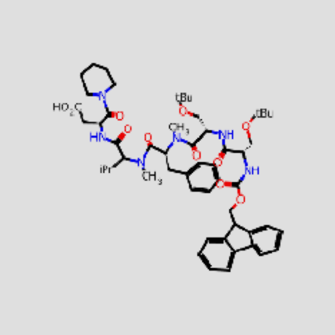 CC(C)C(C(=O)N[C@@H](CC(=O)O)C(=O)N1CCCCC1)N(C)C(=O)[C@H](Cc1ccccc1)N(C)C(=O)[C@H](COC(C)(C)C)NC(=O)[C@H](COC(C)(C)C)NC(=O)OCC1c2ccccc2-c2ccccc21